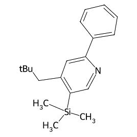 CC(C)(C)Cc1cc(-c2ccccc2)ncc1[Si](C)(C)C